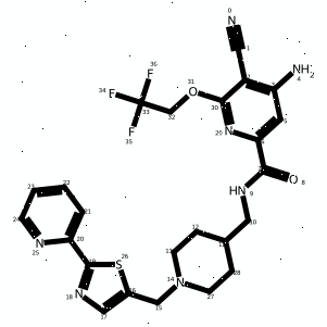 N#Cc1c(N)cc(C(=O)NCC2CCN(Cc3cnc(-c4ccccn4)s3)CC2)nc1OCC(F)(F)F